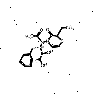 CCC1SC=CN(N(C(C)=O)[C@@H](Cc2ccccc2)C(O)C(=O)O)C1=O